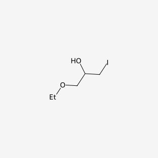 CCOCC(O)CI